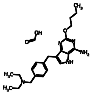 CCCCOc1nc(N)c2[nH]cc(Cc3ccc(CN(CC)CC)cc3)c2n1.O=CO